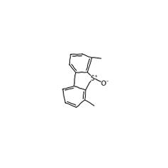 Cc1cccc2c3cccc(C)c3[s+]([O-])c12